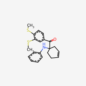 CSc1ccc(C(=O)C2(Nc3ccccc3)CC=CCC2)cc1SC